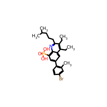 CCc1c(CCCC(C)C)nc2c(P(=O)(O)O)cc(-c3ccc(Br)cc3C)cc2c1CC